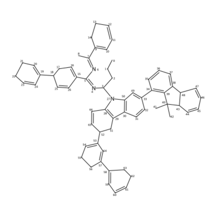 CCCC(/N=C(\N=C(/C)C1=CC=CCC1)C1=CCC(C2=CCCC=C2)C=C1)n1c2c(c3ccc(-c4cccc5c4C(C)(C)C4C=CC=CC54)cc31)CC(C1=CCCC(C3=CC=CCC3)=C1)C=C2